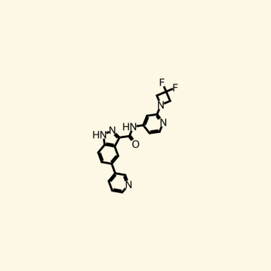 O=C(Nc1ccnc(N2CC(F)(F)C2)c1)c1n[nH]c2ccc(-c3cccnc3)cc12